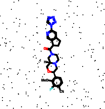 COc1c([C@@H]2CN3CCN(C(=O)C4CCc5cc(-n6cnnn6)ncc54)C[C@H]3CO2)ccc(C#N)c1F